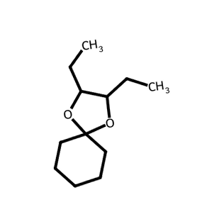 CCC1OC2(CCCCC2)OC1CC